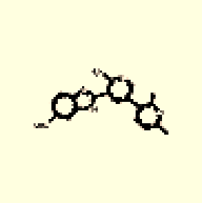 COc1ccc2nc(-c3cc(-c4ccc(C)nc4F)cnc3N)[nH]c2c1